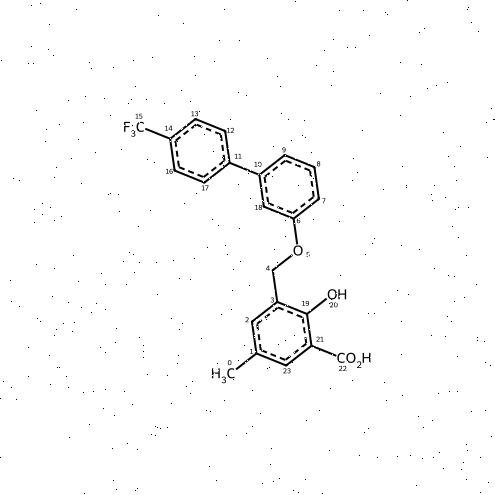 Cc1cc(COc2cccc(-c3ccc(C(F)(F)F)cc3)c2)c(O)c(C(=O)O)c1